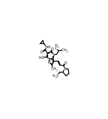 CCC1CCCN1C(=O)C=Cc1c(C)nn2c(O)c(C(=O)NC3CC3)c(=O)n(CC(C)C)c12